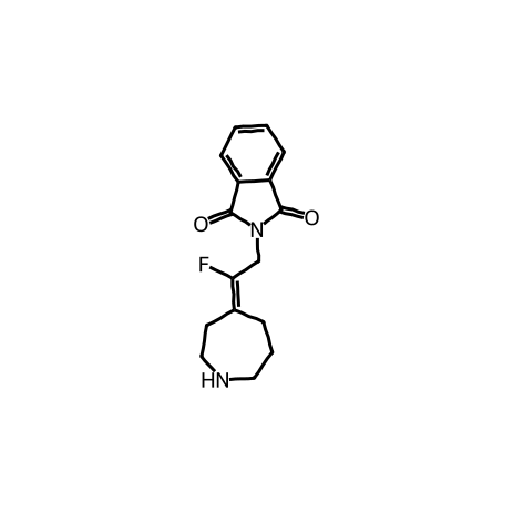 O=C1c2ccccc2C(=O)N1CC(F)=C1CCCNCC1